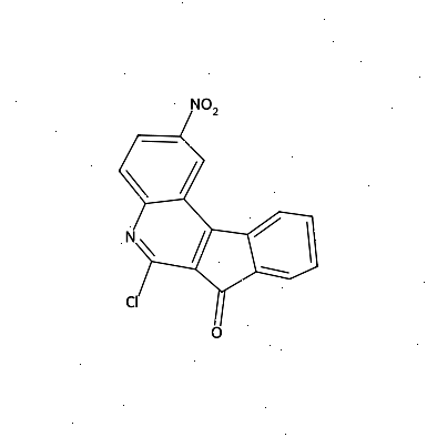 O=C1c2ccccc2-c2c1c(Cl)nc1ccc([N+](=O)[O-])cc21